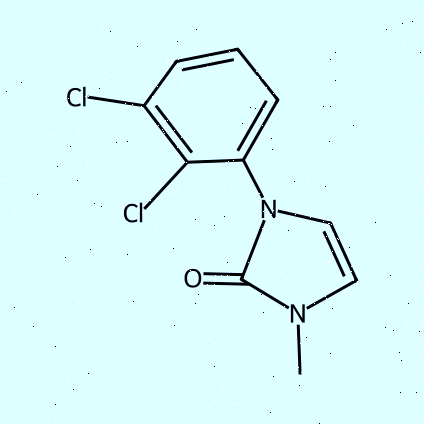 Cn1ccn(-c2cccc(Cl)c2Cl)c1=O